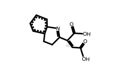 O=C(O)/C=C(\C(=O)O)C1=Nc2ccccc2CC1